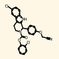 N#CCOc1ccc(C2c3[nH]c4ccc(Cl)cc4c3CCN2C(=O)Oc2ccccc2Cl)cc1